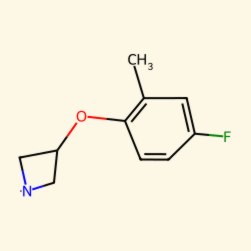 Cc1cc(F)ccc1OC1C[N]C1